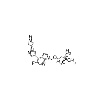 C[Si](C)(C)CCOCn1ccc2c(-c3cnn([C]4CNC4)c3)c(F)cnc21